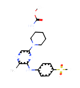 CC(C)(C)OC(=O)N[C@@H]1CCCN(c2cnc(C#N)c(Nc3ccc(S(C)(=O)=O)cc3)n2)C1